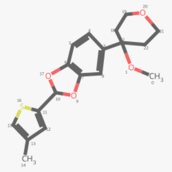 COC1(c2ccc3c(c2)OC(c2cc(C)cs2)O3)CCOCC1